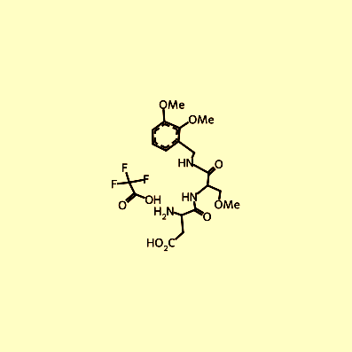 COCC(NC(=O)C(N)CC(=O)O)C(=O)NCc1cccc(OC)c1OC.O=C(O)C(F)(F)F